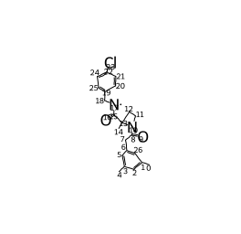 Cc1cc(C)cc(CC(=O)N2CCC2(C)C(=O)[N]Cc2ccc(Cl)cc2)c1